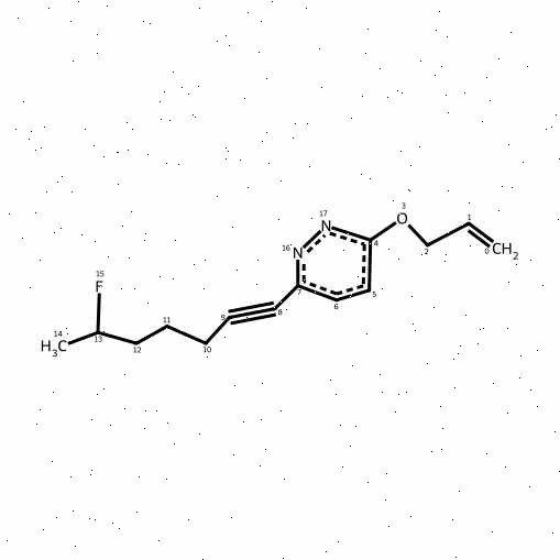 C=CCOc1ccc(C#CCCCC(C)F)nn1